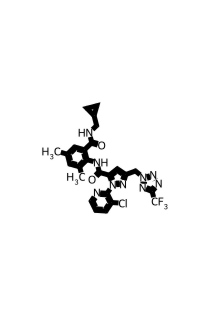 Cc1cc(C)c(NC(=O)c2cc(Cn3nnc(C(F)(F)F)n3)nn2-c2ncccc2Cl)c(C(=O)NCC2CC2)c1